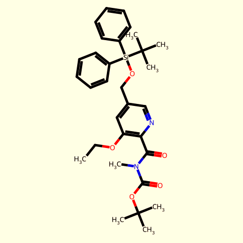 CCOc1cc(CO[Si](c2ccccc2)(c2ccccc2)C(C)(C)C)cnc1C(=O)N(C)C(=O)OC(C)(C)C